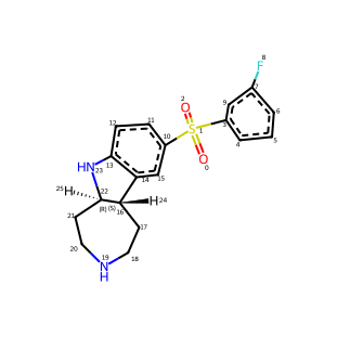 O=S(=O)(c1cccc(F)c1)c1ccc2c(c1)[C@@H]1CCNCC[C@H]1N2